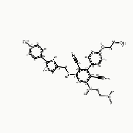 CN(C)CCN(C)c1nc(SCc2coc(-c3ccc(Cl)cc3)n2)c(C#N)c(-c2ccc(OCCO)cc2)c1C#N